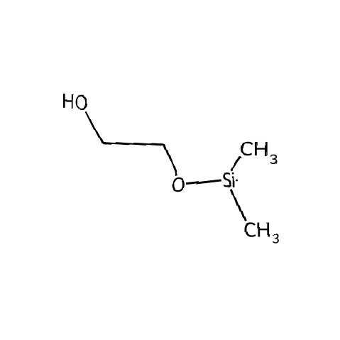 C[Si](C)OCCO